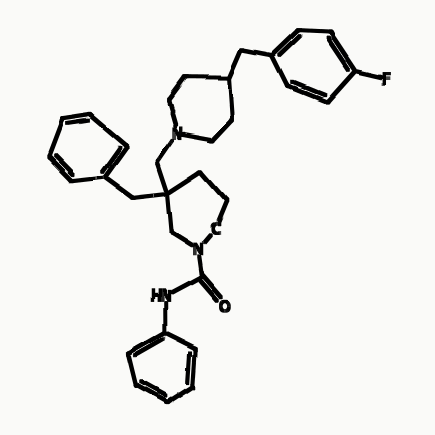 O=C(Nc1ccccc1)N1CCCC(Cc2ccccc2)(CN2CCC(Cc3ccc(F)cc3)CC2)C1